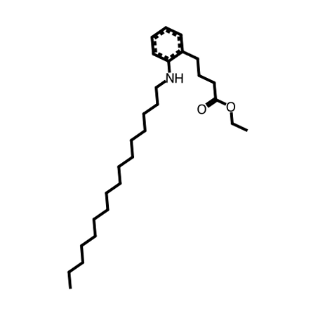 CCCCCCCCCCCCCCCCNc1ccccc1CCCC(=O)OCC